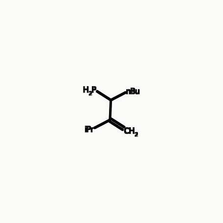 C=C(C(C)C)C(P)CCCC